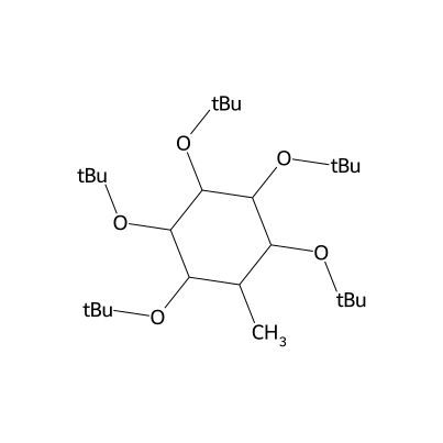 CC1C(OC(C)(C)C)C(OC(C)(C)C)C(OC(C)(C)C)C(OC(C)(C)C)C1OC(C)(C)C